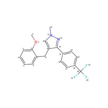 COc1ccccc1Cc1[c]n(C)nc1-c1ccc(C(F)(F)F)cc1